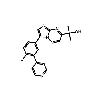 CC(C)(O)c1cnn2c(-c3ccc(F)c(-c4ccncc4)c3)cnc2n1